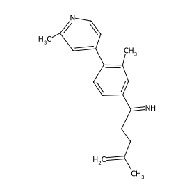 C=C(C)CCC(=N)c1ccc(-c2ccnc(C)c2)c(C)c1